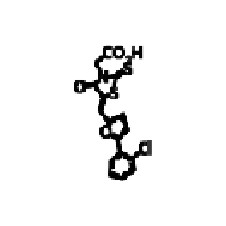 O=C(O)CN1C(=O)/C(=C/c2ccc(-c3ccccc3Cl)o2)SC1=S